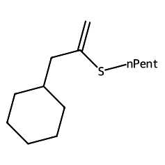 C=C(CC1CCCCC1)SCCCCC